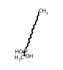 CCCCCCCC/C=C/CCCCCCCCOC(O)C(C)O